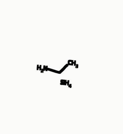 CCN.[SiH4]